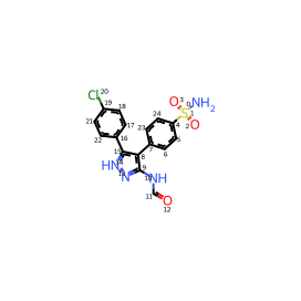 NS(=O)(=O)c1ccc(-c2c(NC=O)n[nH]c2-c2ccc(Cl)cc2)cc1